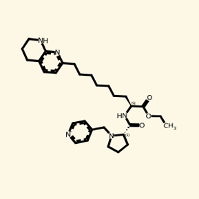 CCOC(=O)[C@H](CCCCCCCc1ccc2c(n1)NCCC2)NC(=O)[C@@H]1CCCN1Cc1ccncc1